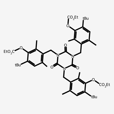 CCOC(=O)Oc1c(C(C)(C)C)cc(C)c(Cn2c(=O)n(Cc3c(C)cc(C(C)(C)C)c(OC(=O)OCC)c3C)c(=O)n(Cc3c(C)cc(C(C)(C)C)c(OC(=O)OCC)c3C)c2=O)c1C